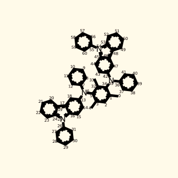 Cc1cc(C)c(N(c2ccccc2)c2ccc3c(c2)c2ccccc2n3-c2ccccc2)c(C)c1N(c1ccccc1)c1ccc2c(c1)c1ccccc1n2-c1ccccc1